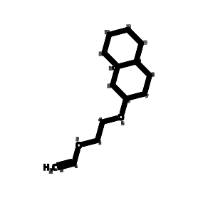 C=COCCOC1CCC2CCCCC2C1